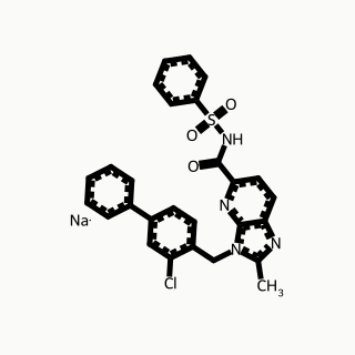 Cc1nc2ccc(C(=O)NS(=O)(=O)c3ccccc3)nc2n1Cc1ccc(-c2ccccc2)cc1Cl.[Na]